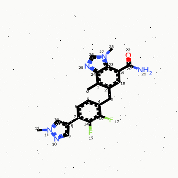 Cc1c(Cc2ccc(-c3cnn(C)c3)c(F)c2F)cc(C(N)=O)c2c1ncn2C